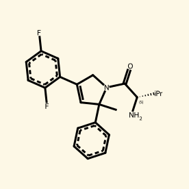 CC(C)[C@H](N)C(=O)N1CC(c2cc(F)ccc2F)=CC1(C)c1ccccc1